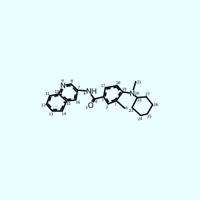 Cc1cc(C(=O)Nc2cnc3ccccc3c2)ccc1N(C)C1CCCCC1